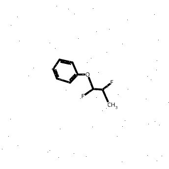 CC(F)C(F)Oc1cc[c]cc1